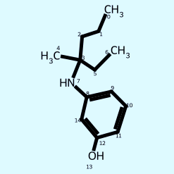 CCCC(C)(CC)Nc1cccc(O)c1